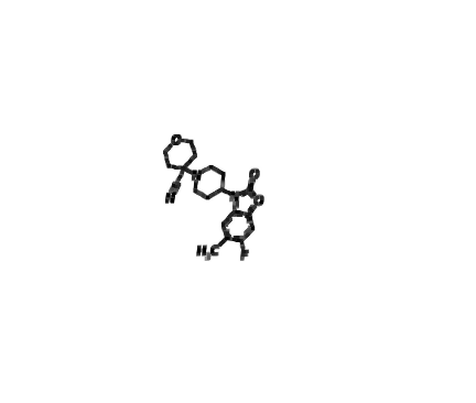 Cc1cc2c(cc1F)oc(=O)n2C1CCN(C2(C#N)CCOCC2)CC1